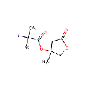 CCC(C)(I)C(=O)OC1(C)COC(=O)C1